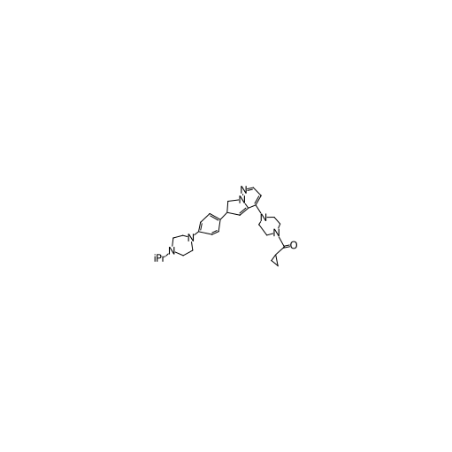 CC(C)N1CCN(c2ccc(C3C=C4C(N5CCN(C(=O)C6CC6)CC5)=CC=NN4C3)cc2)CC1